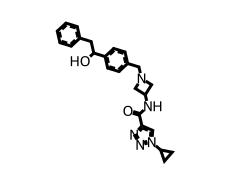 O=C(NC1CN(Cc2ccc(C(O)Cc3ccccc3)cc2)C1)c1cn(C2CC2)nn1